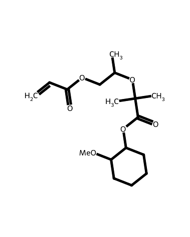 C=CC(=O)OCC(C)OC(C)(C)C(=O)OC1CCCCC1OC